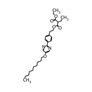 CCCCCCCCCCOc1cnc(-c2ccc(CCOC(=O)C(CC)C(=O)OCC)cc2)nc1